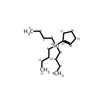 CCC[CH2][Sn]([CH2]CCC)([CH2]CCC)[C]1=CCCC1